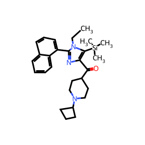 CCn1c(-c2cccc3ccccc23)nc(C(=O)C2CCN(C3CCC3)CC2)c1[Si](C)(C)C